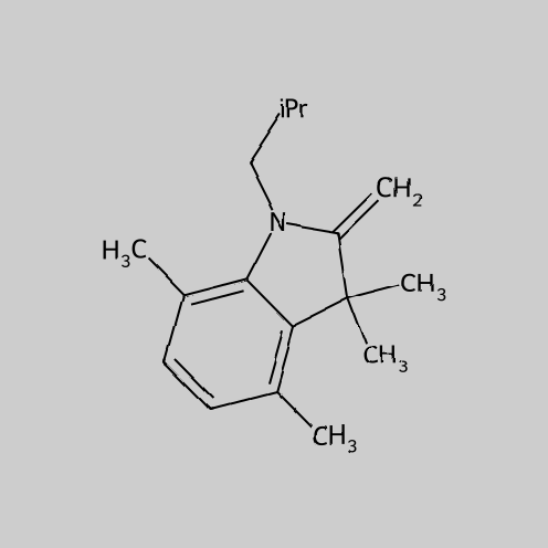 C=C1N(CC(C)C)c2c(C)ccc(C)c2C1(C)C